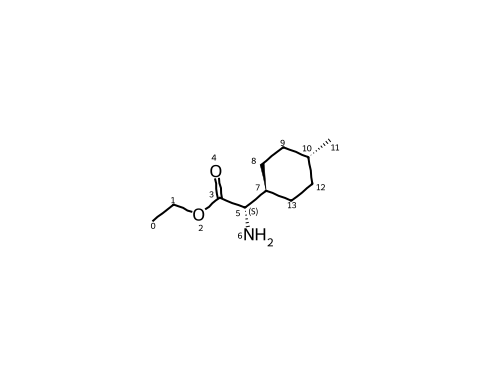 CCOC(=O)[C@@H](N)[C@H]1CC[C@H](C)CC1